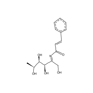 C[C@H](O)[C@@H](O)[C@H](O)/C(CO)=N/C(=O)/C=C/c1ccccc1